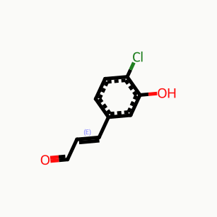 O=C/C=C/c1ccc(Cl)c(O)c1